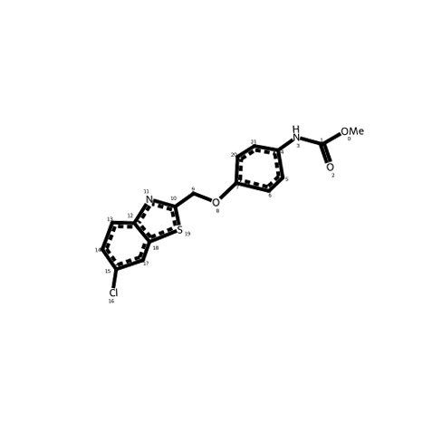 COC(=O)Nc1ccc(OCc2nc3ccc(Cl)cc3s2)cc1